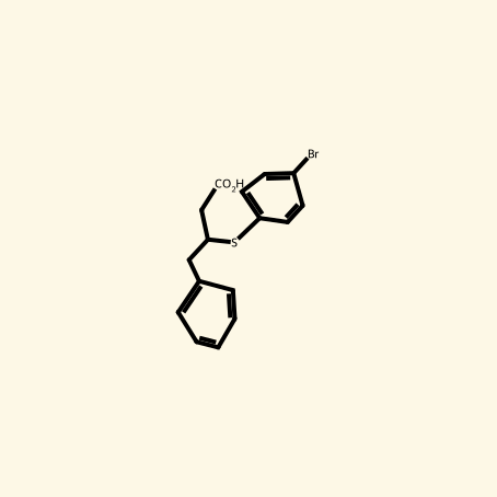 O=C(O)CC(Cc1ccccc1)Sc1ccc(Br)cc1